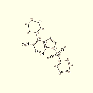 O=[N+]([O-])c1cnc2c(ccn2S(=O)(=O)c2ccccc2)c1[C]1CCCCC1